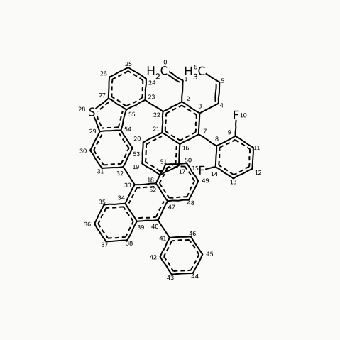 C=Cc1c(/C=C\C)c(-c2c(F)cccc2F)c2ccccc2c1-c1cccc2sc3ccc(-c4c5ccccc5c(-c5ccccc5)c5ccccc45)cc3c12